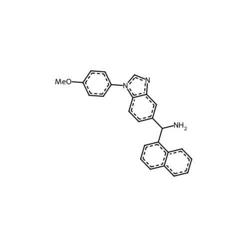 COc1ccc(-n2cnc3cc(C(N)c4cccc5ccccc45)ccc32)cc1